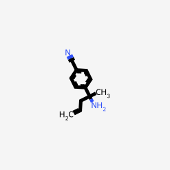 C=CCC(C)(N)c1ccc(C#N)cc1